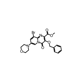 COC(=O)c1nc2c(Br)cc(N3CCOCC3)cn2c(=O)c1OCc1ccccc1